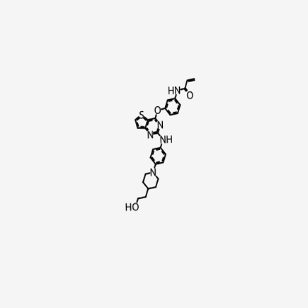 C=CC(=O)Nc1cccc(Oc2nc(Nc3ccc(N4CCC(CCO)CC4)cc3)nc3ccsc23)c1